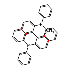 Cc1cccc(P(c2ccccc2)c2ccccc2)c1-c1ccccc1P(c1ccccc1)c1ccccc1